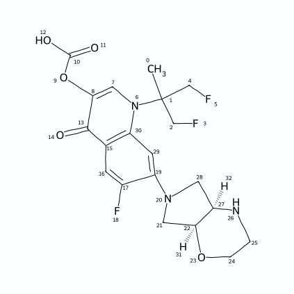 CC(CF)(CF)n1cc(OC(=O)O)c(=O)c2cc(F)c(N3C[C@@H]4OCCN[C@@H]4C3)cc21